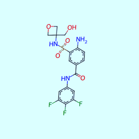 Nc1ccc(C(=O)Nc2cc(F)c(F)c(F)c2)cc1S(=O)(=O)NC1(CO)COC1